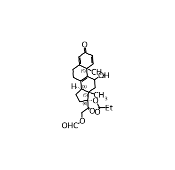 CCC(=O)O[C@]1(C(=O)COC=O)CC[C@H]2C3=C(C(O)C[C@@]21C)[C@@]1(C)C=CC(=O)C=C1CC3